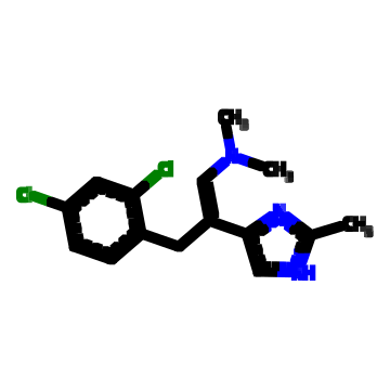 Cc1nc(C(=CN(C)C)Cc2ccc(Cl)cc2Cl)c[nH]1